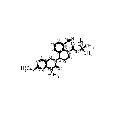 CSc1ncc2c(n1)N(C)C(=O)N(C1CCN(C(=O)OC(C)(C)C)c3c(C#N)cccc31)C2